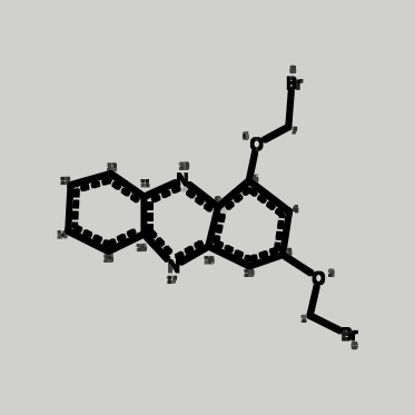 BrCOc1cc(OCBr)c2nc3ccccc3nc2c1